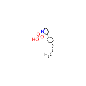 CCCC[C@H]1CC[C@H](c2cccnc2OC(=O)O)CC1